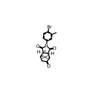 Cc1cc(N2C(=O)[C@@H]3C4CC(=O)C(CS4)[C@@H]3C2=O)ccc1Br